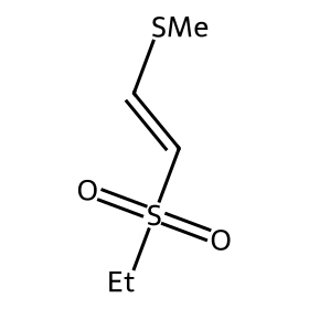 CCS(=O)(=O)C=CSC